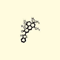 CC1CC(C)(C)N2CCC(C)(C)C3=c4oc(=O)c(C5Nc6ccccc6S5)cc4=CC1C32